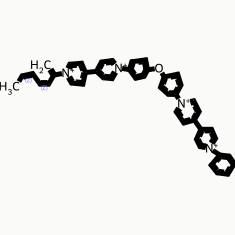 C=C(/C=C\C=C/C)[n+]1ccc(-c2cc[n+](-c3ccc(Oc4ccc(-[n+]5ccc(-c6cc[n+](-c7ccccc7)cc6)cc5)cc4)cc3)cc2)cc1